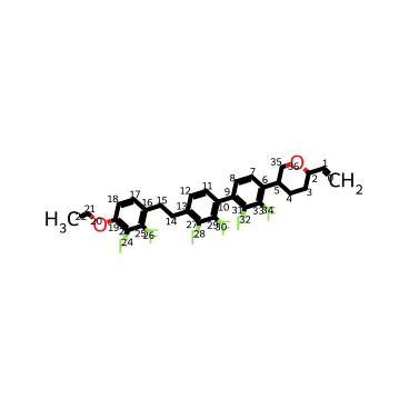 C=CC1CCC(c2ccc(-c3ccc(CCc4ccc(OCC)c(F)c4F)c(F)c3F)c(F)c2F)CO1